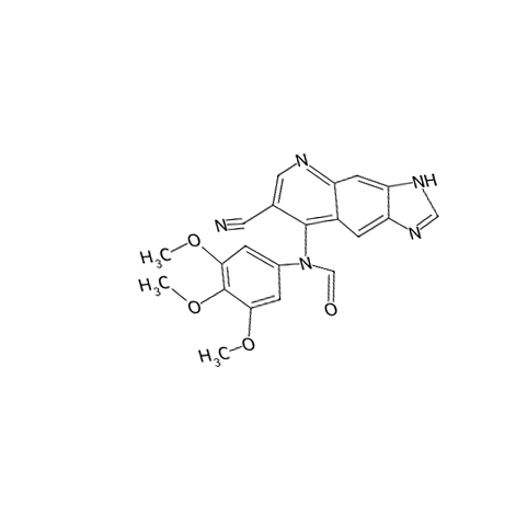 COc1cc(N(C=O)c2c(C#N)cnc3cc4[nH]cnc4cc23)cc(OC)c1OC